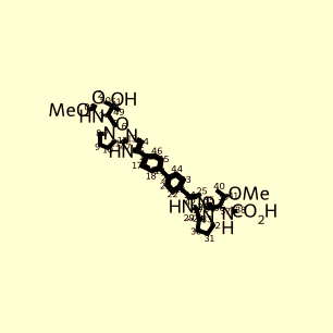 COC(=O)N[C@H](C(=O)N1CCC[C@H]1c1ncc(-c2ccc(-c3ccc(-c4cnc([C@]5(C)CCCN5C(=O)[C@@H](NC(=O)O)[C@@H](C)OC)[nH]4)cc3)cc2)[nH]1)C(C)(C)O